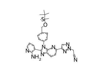 CC(C)(C)[Si](C)(C)OCc1ccc(-n2c(-c3cccnc3N)nc3ccc(-c4cnn(CC#N)n4)nc32)cc1